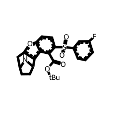 CC(C)(C)OC(=O)c1c(S(=O)(=O)c2cccc(F)c2)ccc2oc3c(c12)C1CCC(C3)N1